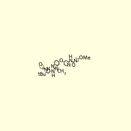 COC1CN(C(=O)Nc2cc(Oc3ccc4nc(Nc5cc(C(C)(C)C)n([C@H]6CCOC6)n5)n(C)c4c3)ccn2)C1